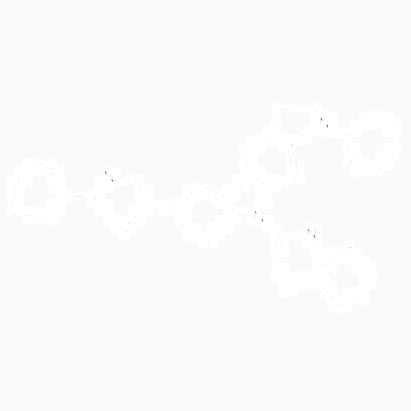 c1ccc(-c2ccc(-c3ccc4c(c3)c3cc5c(cc3n4-c3ccc4ccccc4n3)N(c3ccccc3)CC5)cn2)cc1